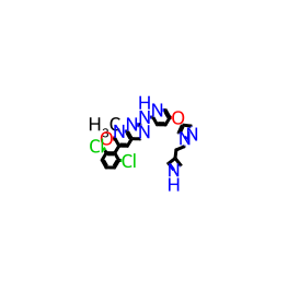 Cn1c(=O)c(-c2c(Cl)cccc2Cl)cc2cnc(Nc3ccc(Oc4cnn(CCC5CNC5)c4)cn3)nc21